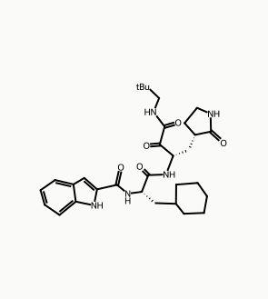 CC(C)(C)CNC(=O)C(=O)[C@H](C[C@@H]1CCNC1=O)NC(=O)[C@H](CC1CCCCC1)NC(=O)c1cc2ccccc2[nH]1